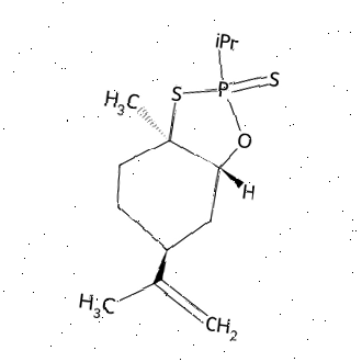 C=C(C)[C@H]1CC[C@@]2(C)SP(=S)(C(C)C)O[C@@H]2C1